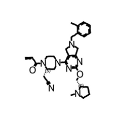 C=CC(=O)N1CCN(c2nc(OC[C@@H]3CCCN3C)nc3c2CN(Cc2ccccc2C)C3)C[C@@H]1CC#N